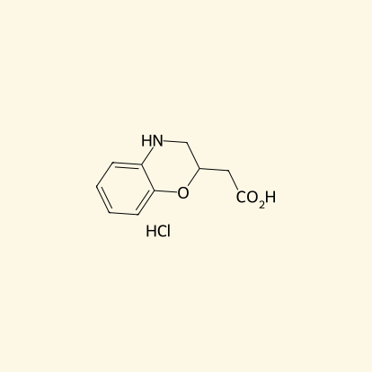 Cl.O=C(O)CC1CNc2ccccc2O1